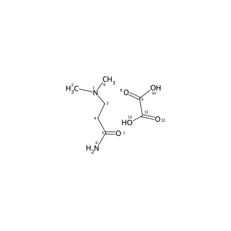 CN(C)CCC(N)=O.O=C(O)C(=O)O